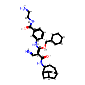 N=C/C(C(=O)NC1CCC2CC3CC1C3C2)=C(\Nc1cccc(C(=O)NCCN)c1)OCC1CCCCC1